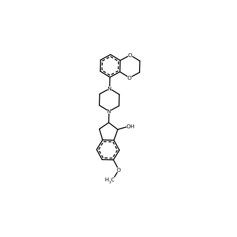 COc1ccc2c(c1)C(O)C(N1CCN(c3cccc4c3OCCO4)CC1)C2